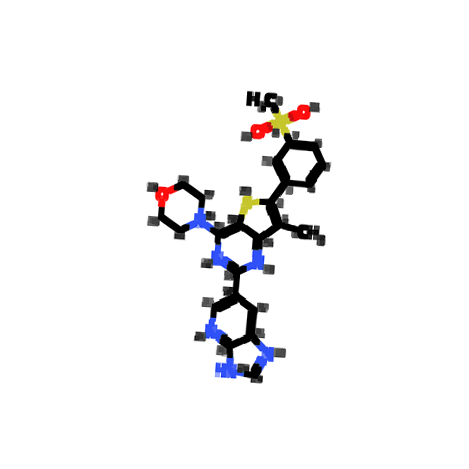 Cc1c(-c2cccc(S(C)(=O)=O)c2)sc2c(N3CCOCC3)nc(-c3cnc4[nH]cnc4c3)nc12